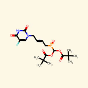 CC(C)(C)C(=O)OC(OC(=O)C(C)(C)C)[PH](=O)C/C=C/Cn1cc(F)c(=O)[nH]c1=O